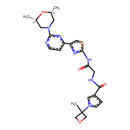 C[C@@H]1CN(c2nccc(-c3csc(NC(=O)CNC(=O)c4ccn(C5(C)COC5)c4)n3)n2)C[C@H](C)O1